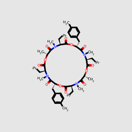 Cc1ccc(C[C@H]2OC(=O)[C@H](CC(C)C)N(C)C(=O)[C@@H](C)OC(=O)[C@H](CC(C)C)N(C)C(=O)[C@@H](Cc3ccc(C)cc3)OC(=O)[C@H](CC(C)C)N(C)C(=O)[C@@H](C)OC(=O)[C@H](CC(C)C)N(C)C2=O)cc1